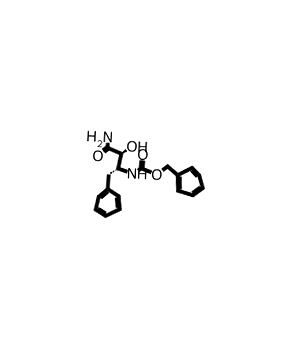 NC(=O)[C@@H](O)[C@@H](Cc1ccccc1)NC(=O)OCc1ccccc1